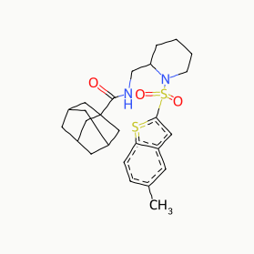 Cc1ccc2sc(S(=O)(=O)N3CCCCC3CNC(=O)C34CC5CC(CC(C5)C3)C4)cc2c1